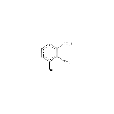 Cc1c(N=O)cccc1C(=O)O